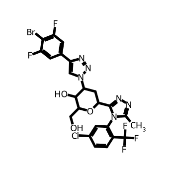 Cc1nnc(C2CC(n3cc(-c4cc(F)c(Br)c(F)c4)nn3)C(O)C(CO)O2)n1-c1cc(Cl)ccc1C(F)(F)F